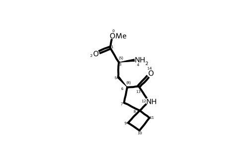 COC(=O)[C@@H](N)C[C@@H]1CC2(CCC2)NC1=O